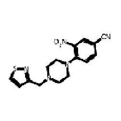 N#Cc1ccc(N2CCN(Cc3ccsn3)CC2)c([N+](=O)[O-])c1